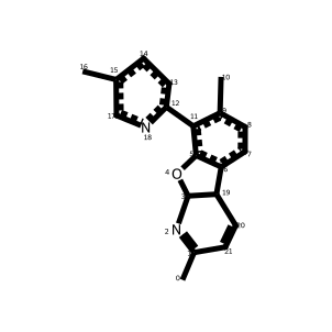 CC1=NC2Oc3c(ccc(C)c3-c3ccc(C)cn3)C2C=C1